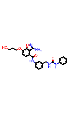 Nc1noc2c(OCCCO)ccc(C(=O)Nc3cccc(CNC(=O)Nc4ccccc4)c3)c12